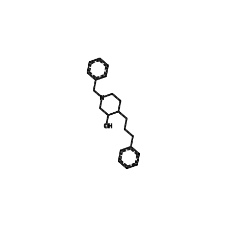 OC1CN(Cc2ccccc2)CCC1CCCc1ccccc1